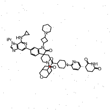 CC(C)n1cnc2cc(-c3ccc4c(c3)N(C3CC(N5CCCCC5)C3)C(=O)C43CCN(C(=O)C4C5COCC4CN(C(=O)C4CCN(c6ccc([C@H]7CCC(=O)NC7=O)cn6)CC4)C5)CC3)nc(NC3CC3)c21